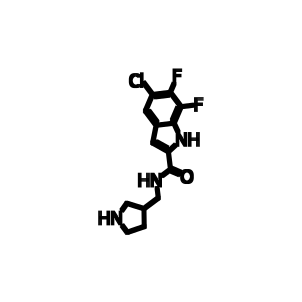 O=C(NCC1CCNC1)c1cc2cc(Cl)c(F)c(F)c2[nH]1